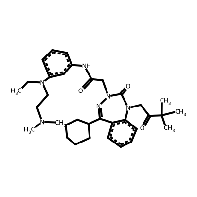 CCN(CCN(C)C)c1cccc(NC(=O)CN2N=C(C3CCCCC3)c3ccccc3N(CC(=O)C(C)(C)C)C2=O)c1